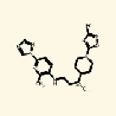 Cc1nc(-n2cncn2)ccc1NCC[C@@H](C)C1CCN(c2nc(C(C)C)no2)CC1